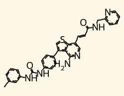 Cc1cccc(NC(=O)Nc2ccc(-c3csc4c(C=CC(=O)NCc5ccccn5)cnc(N)c34)cc2)c1